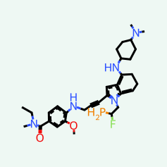 CCN(C)C(=O)c1ccc(NCC#Cc2cc3c(n2CC(F)P)=CCCC=3NC2CCC(N(C)C)CC2)c(OC)c1